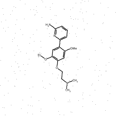 CCOc1cc(-c2cccc(N)n2)c(OC)cc1OCCN(C)C